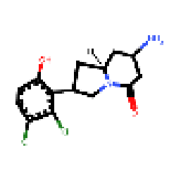 NC1CC(=O)N2C[C@@H](c3c(O)ccc(Cl)c3Cl)C[C@H]2C1